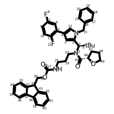 CC(C)(C)[C@H](c1cc(-c2cc(F)ccc2F)cn1Cc1ccccc1)N(CCCNC(=O)OCC1c2ccccc2-c2ccccc21)C(=O)[C@@H]1CCCO1